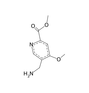 COC(=O)c1cc(OC)c(CN)cn1